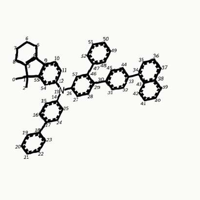 CC1(C)C2=C(CCCC2)c2ccc(N(c3ccc(-c4ccccc4)cc3)c3ccc(-c4ccc(-c5cccc6ccccc56)cc4)c(-c4ccccc4)c3)cc21